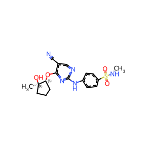 CNS(=O)(=O)c1ccc(Nc2ncc(C#N)c(O[C@H]3CCC[C@@]3(C)O)n2)cc1